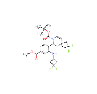 COC(=O)c1ccc(C2CC3(C=CN2C(=O)OC(C)(C)C)CC(F)(F)C3)c(NC2CC(F)(F)C2)c1